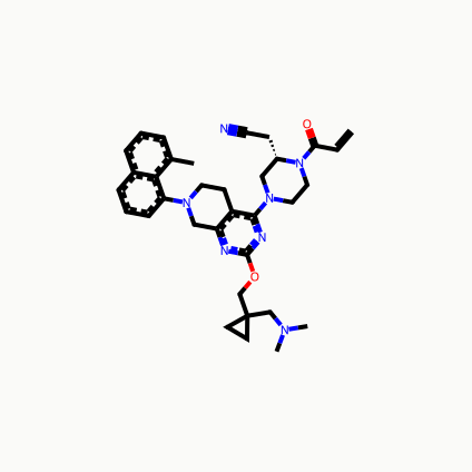 C=CC(=O)N1CCN(c2nc(OCC3(CN(C)C)CC3)nc3c2CCN(c2cccc4cccc(C)c24)C3)C[C@@H]1CC#N